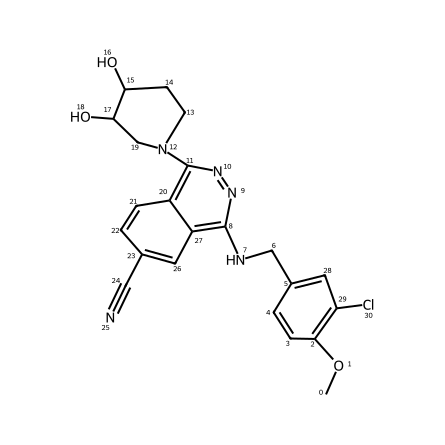 COc1ccc(CNc2nnc(N3CCC(O)C(O)C3)c3ccc(C#N)cc23)cc1Cl